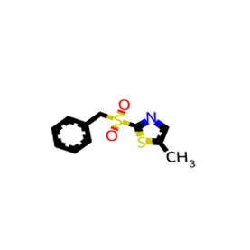 Cc1cnc(S(=O)(=O)Cc2ccccc2)s1